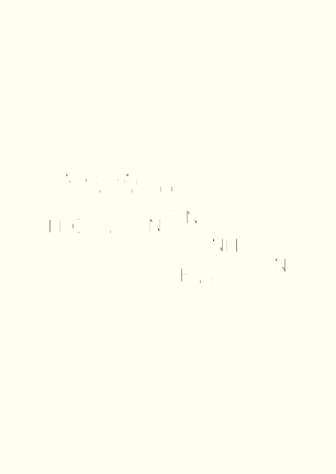 CC(=O)O[C@@H]1[C@H](OC(C)=O)[C@@H](C)O[C@H]1n1cc(F)c(NC(=O)c2cccnc2)nc1=O